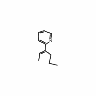 C/C=C(\CCC)c1ccccn1